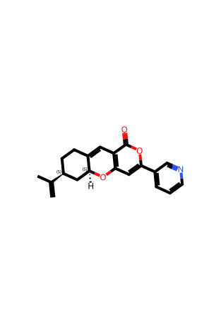 C=C(C)[C@H]1CCC2=Cc3c(cc(-c4cccnc4)oc3=O)O[C@H]2C1